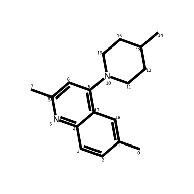 Cc1ccc2nc(C)cc(N3CCC(C)CC3)c2c1